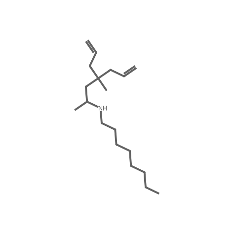 C=CCC(C)(CC=C)CC(C)NCCCCCCCC